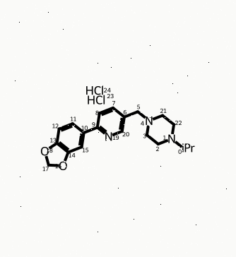 CC(C)N1CCN(Cc2ccc(-c3ccc4c(c3)OCO4)nc2)CC1.Cl.Cl